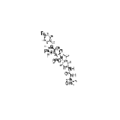 CC(C)[C@H](CO)NC(=O)Nc1ccc2c(c1)CC[C@@]21OC(=O)N(CC(=O)N(Cc2ccc(F)cc2)[C@@H](C)C(F)(F)F)C1=O